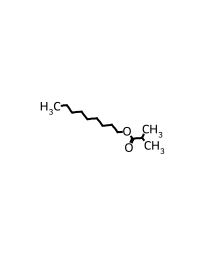 CCCCCCCCCOC(=O)C(C)C